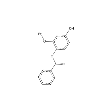 CCOc1cc(O)ccc1OC(=O)c1ccccc1